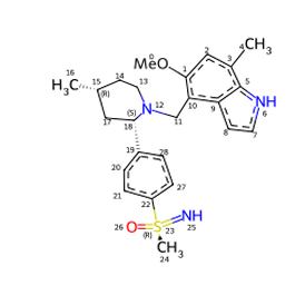 COc1cc(C)c2[nH]ccc2c1CN1CC[C@@H](C)C[C@H]1c1ccc([S@](C)(=N)=O)cc1